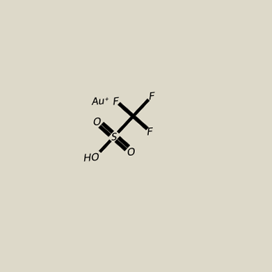 O=S(=O)(O)C(F)(F)F.[Au+]